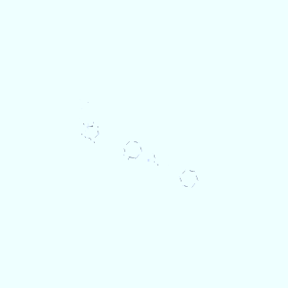 C/C(=N\OCc1ccc(C)cc1)c1ccc(OCc2nnn(CC3CC3)n2)nc1